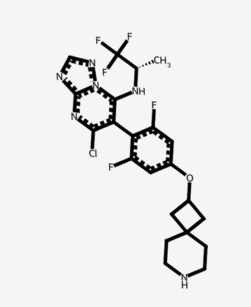 C[C@H](Nc1c(-c2c(F)cc(OC3CC4(CCNCC4)C3)cc2F)c(Cl)nc2ncnn12)C(F)(F)F